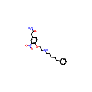 NC(=O)Cc1ccc(OCCNCCCCCc2ccccc2)c([N+](=O)[O-])c1